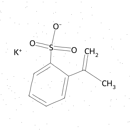 C=C(C)c1ccccc1S(=O)(=O)[O-].[K+]